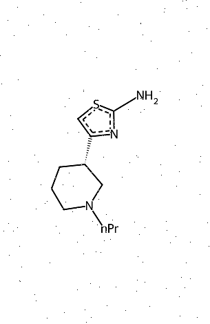 CCCN1CCC[C@H](c2csc(N)n2)C1